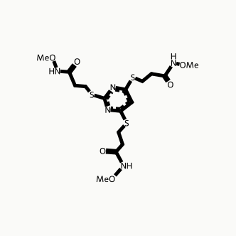 CONC(=O)CCSc1cc(SCCC(=O)NOC)nc(SCCC(=O)NOC)n1